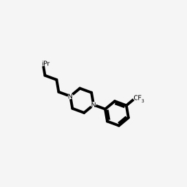 CC(C)CCCN1CCN(c2cccc(C(F)(F)F)c2)CC1